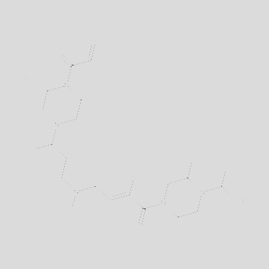 C=CC(=O)N1CCN(C(C)CCN(C)C/C=C(\F)C(=O)N2CCN(C(C)C)C(C)C2)CC1C